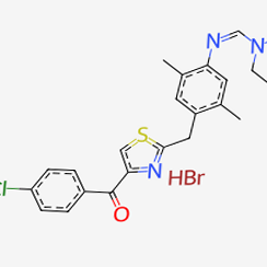 Br.CCN(C)/C=N\c1cc(C)c(Cc2nc(C(=O)c3ccc(Cl)cc3)cs2)cc1C